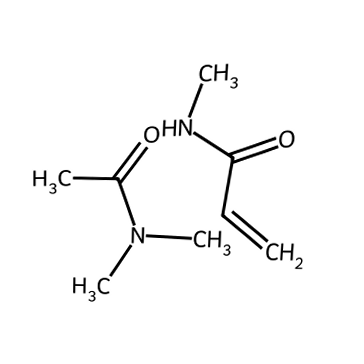 C=CC(=O)NC.CC(=O)N(C)C